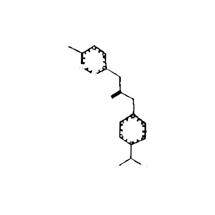 Cc1ccc(CC(=O)Cc2ccc(C(Cl)Cl)cc2)nn1